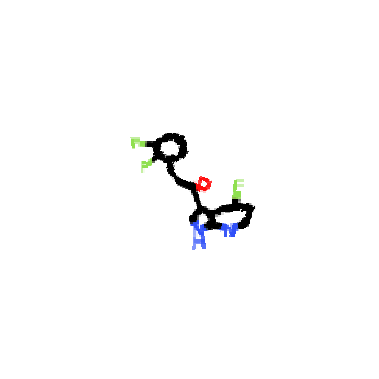 O=C(Cc1cccc(F)c1F)c1c[nH]c2nccc(F)c12